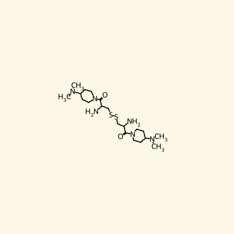 CN(C)C1CCN(C(=O)C(N)CSSCC(N)C(=O)N2CCC(N(C)C)CC2)CC1